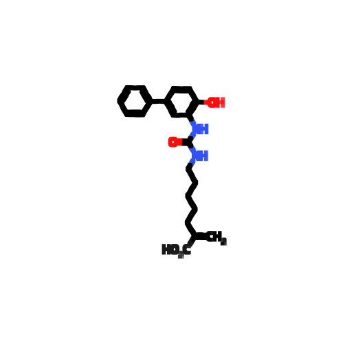 C=C(CCCCCNC(=O)Nc1cc(-c2ccccc2)ccc1O)C(=O)O